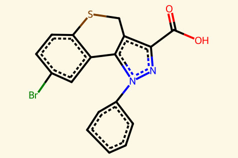 O=C(O)c1nn(-c2ccccc2)c2c1CSc1ccc(Br)cc1-2